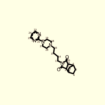 O=C1C2C3CCC(CC3)C2C(=O)N1CCCCN1CCN(c2ncccn2)CC1